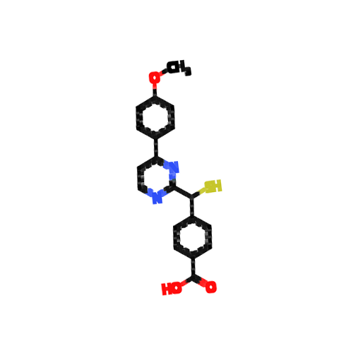 COc1ccc(-c2ccnc(C(S)c3ccc(C(=O)O)cc3)n2)cc1